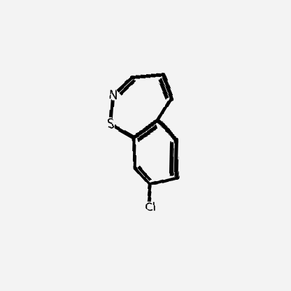 Clc1ccc2c(c1)SN=CC=C2